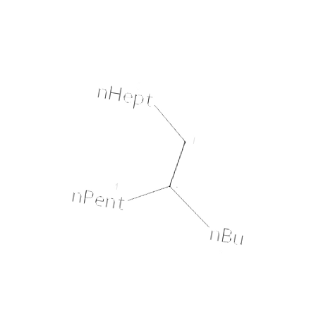 [CH2]CCCCCCCC(CCCC)CCCCC